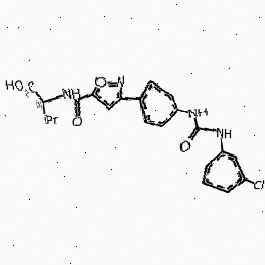 CC(C)[C@H](NC(=O)c1cc(-c2ccc(NC(=O)Nc3cccc(Cl)c3)cc2)no1)C(=O)O